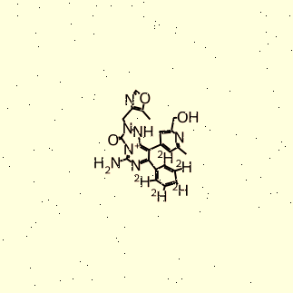 [2H]c1c([2H])c([2H])c(-c2nc(N)[n+]3c(=O)n(Cc4ncoc4C)[nH]c3c2-c2cc(C)nc(CO)c2)c([2H])c1[2H]